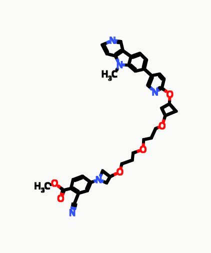 COC(=O)c1ccc(N2CC(OCCCOCCCOC3CC(Oc4ccc(-c5ccc6c7cnccc7n(C)c6c5)cn4)C3)C2)cc1C#N